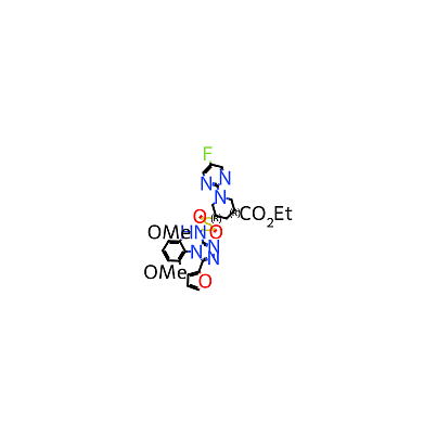 CCOC(=O)[C@@H]1C[C@@H](S(=O)(=O)Nc2nnc(-c3ccco3)n2-c2c(OC)cccc2OC)CN(c2ncc(F)cn2)C1